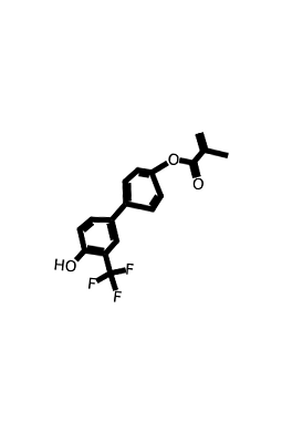 C=C(C)C(=O)Oc1ccc(-c2ccc(O)c(C(F)(F)F)c2)cc1